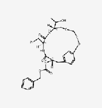 CC(C)C[C@@H]1NC(=O)[C@@H](NC(=O)OCc2ccccc2)Cc2ccc(cc2)OCCCC[C@@H](C(C)O)NC1=O